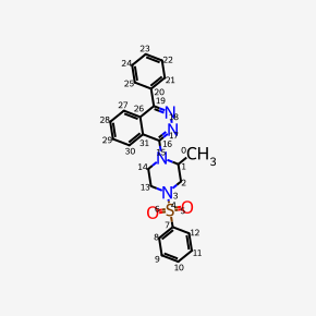 CC1CN(S(=O)(=O)c2ccccc2)CCN1c1nnc(-c2ccccc2)c2ccccc12